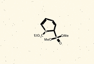 CCOC(=O)N1C=CC=CC1P(=O)(OC)OC